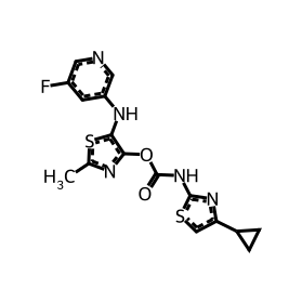 Cc1nc(OC(=O)Nc2nc(C3CC3)cs2)c(Nc2cncc(F)c2)s1